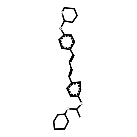 CC(Oc1ccc(C=CC=Cc2ccc(OC3CCCCO3)cc2)cc1)OC1CCCCC1